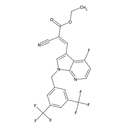 CCOC(=O)/C(C#N)=C/c1cn(Cc2cc(C(F)(F)F)cc(C(F)(F)F)c2)c2nccc(F)c12